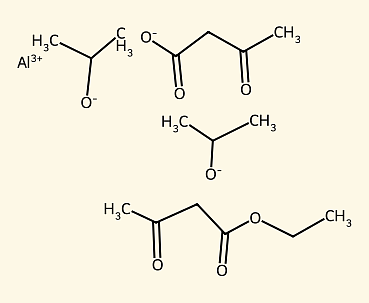 CC(=O)CC(=O)[O-].CC(C)[O-].CC(C)[O-].CCOC(=O)CC(C)=O.[Al+3]